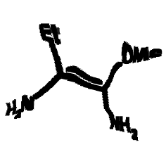 CC/C(N)=C(/N)OC